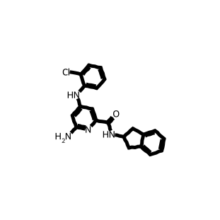 Nc1cc(Nc2ccccc2Cl)cc(C(=O)NC2Cc3ccccc3C2)n1